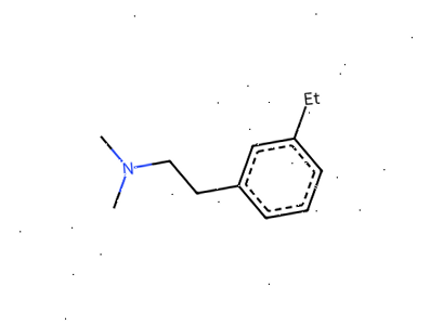 [CH2]Cc1cccc(CCN(C)C)c1